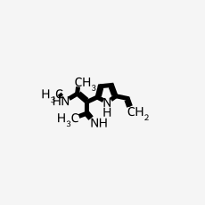 C=Cc1ccc(/C(C(C)=N)=C(\C)NC)[nH]1